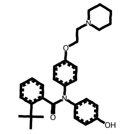 CC(C)(C)c1ccccc1C(=O)N(c1ccc(O)cc1)c1ccc(OCCN2CCCCC2)cc1